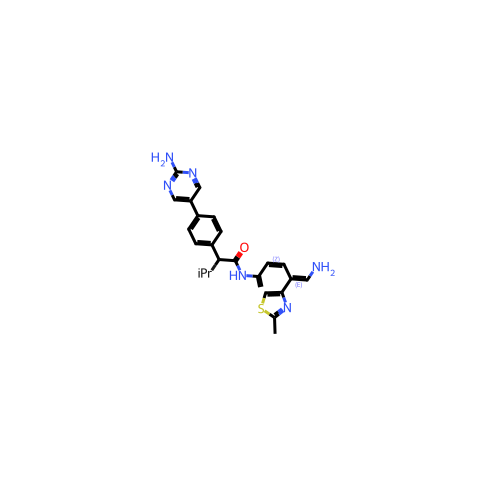 C=C(/C=C\C(=C/N)c1csc(C)n1)NC(=O)C(c1ccc(-c2cnc(N)nc2)cc1)C(C)C